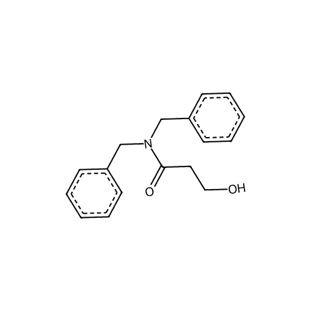 O=C(CCO)N(Cc1ccccc1)Cc1ccccc1